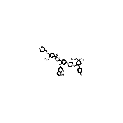 COC1(C)CCC(c2ccc(Cl)cc2)=C(CN2CCN(c3ccc(C(=O)NS(=O)(=O)c4ccc(NCC5CCOCC5)c(C)c4)c(Oc4cnc5[nH]ccc5c4)c3)CC2)C1